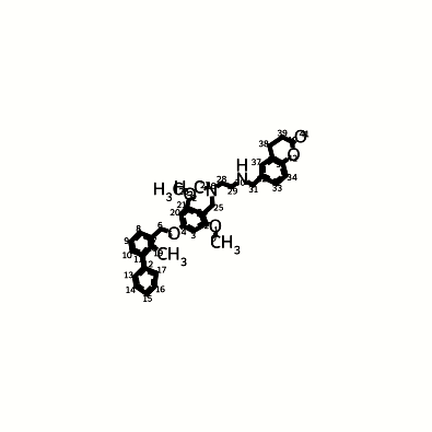 COc1cc(OCc2cccc(-c3ccccc3)c2C)cc(OC)c1CN(C)CCNCc1ccc2c(c1)CCC(=O)O2